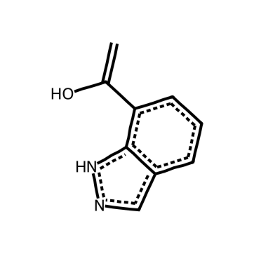 C=C(O)c1cccc2cn[nH]c12